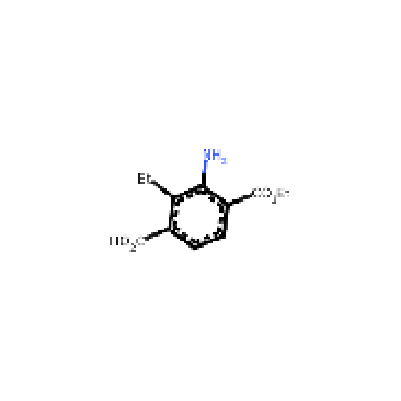 CCOC(=O)c1ccc(C(=O)O)c(CC)c1N